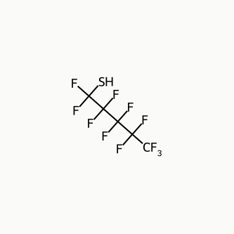 FC(F)(F)C(F)(F)C(F)(F)C(F)(F)C(F)(F)S